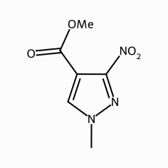 COC(=O)c1cn(C)nc1[N+](=O)[O-]